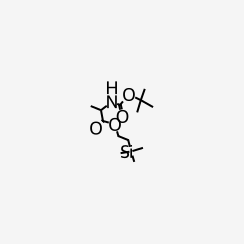 CC(NC(=O)OC(C)(C)C)C(=O)OCC[Si](C)(C)C